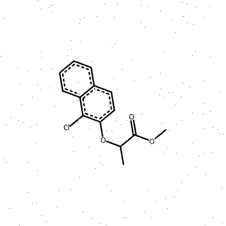 COC(=O)C(C)Oc1ccc2ccccc2c1Cl